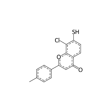 Cc1ccc(-c2cc(=O)c3ccc(S)c(Cl)c3o2)cc1